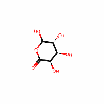 O=C1OC(O)[C@H](O)[C@@H](O)[C@H]1O